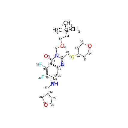 C[Si](C)(C)CCOCn1c(CSC2CCOCC2)nc2cc(NCC3CCOC3)c(F)c(F)c2c1=O